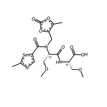 COC[C@H](NC(=O)[C@H](COC)N(Cc1oc(=O)oc1C)C(=O)c1cnc(C)s1)C(=O)O